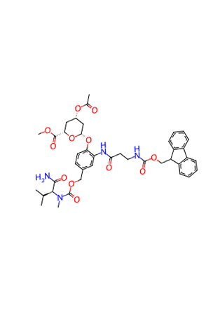 COC(=O)[C@@H]1C[C@H](OC(C)=O)C[C@H](Oc2ccc(COC(=O)N(C)[C@H](C(N)=O)C(C)C)cc2NC(=O)CCNC(=O)OCC2c3ccccc3-c3ccccc32)O1